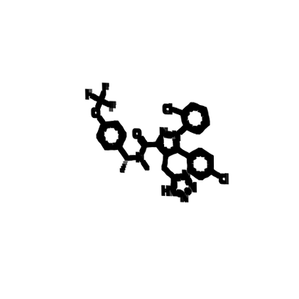 C[C@H](c1ccc(OC(F)(F)F)cc1)N(C)C(=O)c1nn(-c2ccccc2Cl)c(-c2ccc(Cl)cc2)c1Cc1nnn[nH]1